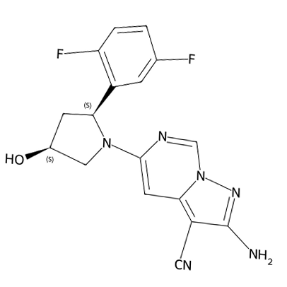 N#Cc1c(N)nn2cnc(N3C[C@@H](O)C[C@H]3c3cc(F)ccc3F)cc12